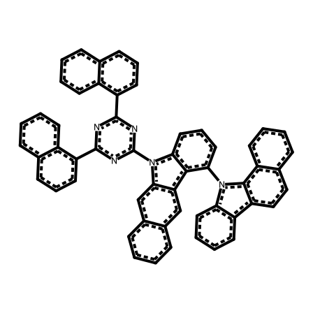 c1ccc2cc3c(cc2c1)c1c(-n2c4ccccc4c4ccc5ccccc5c42)cccc1n3-c1nc(-c2cccc3ccccc23)nc(-c2cccc3ccccc23)n1